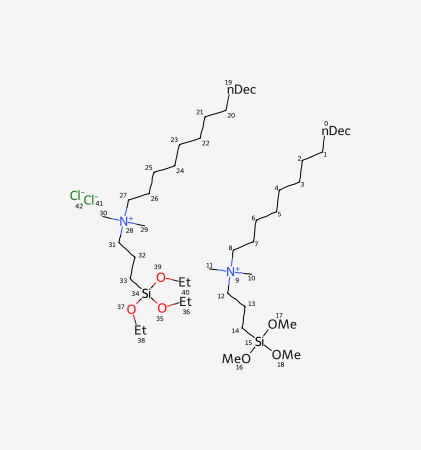 CCCCCCCCCCCCCCCCCC[N+](C)(C)CCC[Si](OC)(OC)OC.CCCCCCCCCCCCCCCCCC[N+](C)(C)CCC[Si](OCC)(OCC)OCC.[Cl-].[Cl-]